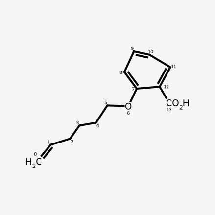 C=CCCCCOc1ccccc1C(=O)O